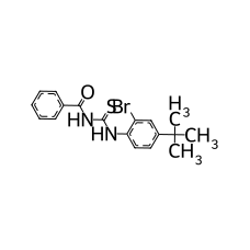 CC(C)(C)c1ccc(NC(=S)NC(=O)c2ccccc2)c(Br)c1